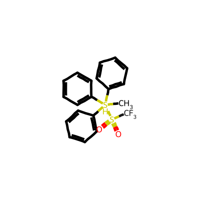 C[SH](c1ccccc1)(c1ccccc1)(c1ccccc1)S(=O)(=O)C(F)(F)F